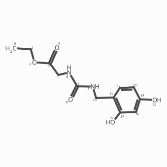 CCOC(=O)CNC(=O)NCc1ccc(O)cc1O